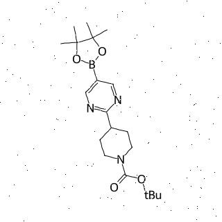 CC(C)(C)OC(=O)N1CCC(c2ncc(B3OC(C)(C)C(C)(C)O3)cn2)CC1